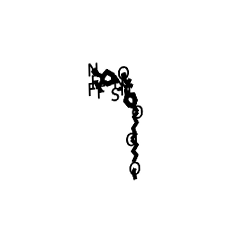 CCOCCCCOCCCCOc1ccc(N2C(=S)N(c3ccc(C#N)c(C(F)(F)F)c3)C(=O)C2(C)C)cc1